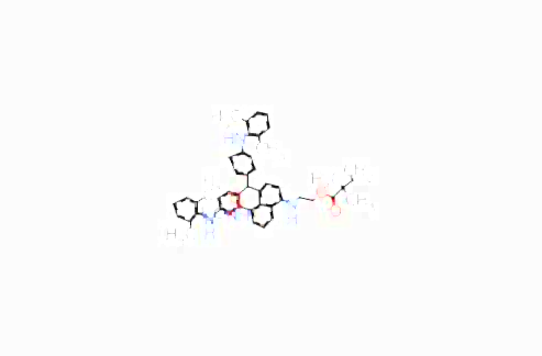 CCC(C)(C)C(=O)OCCNc1ccc(C(c2ccc(Nc3c(C)cccc3C)cc2)c2ccc(Nc3c(C)cccc3C)cc2)c2c(C(=O)NC)cccc12